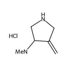 C=C1CNCC1NC.Cl